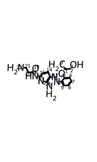 C=C(CO)Oc1ccccc1/N=N/c1ccc(NC(=O)CCN)nc1N